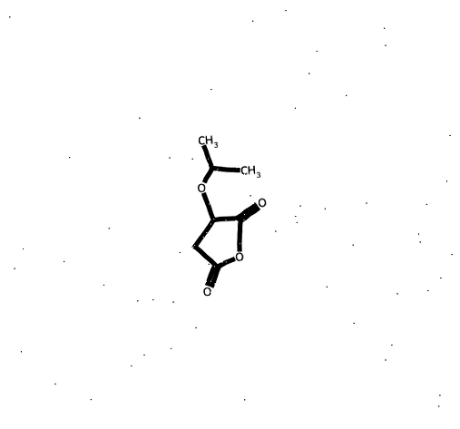 CC(C)OC1CC(=O)OC1=O